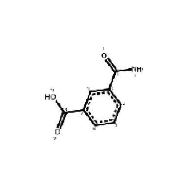 [NH]C(=O)c1cccc(C(=O)O)c1